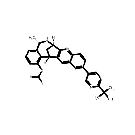 C[C@@H]1N[C@@H]2C[C@H](c3cc4cc(-c5cnc(C(C)(C)O)nc5)ccc4nc32)c2c(OC(F)F)cccc21